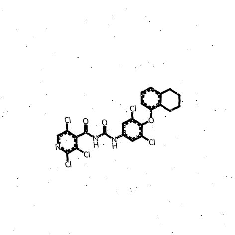 O=C(NC(=O)c1c(Cl)cnc(Cl)c1Cl)Nc1cc(Cl)c(Oc2cccc3c2CCCC3)c(Cl)c1